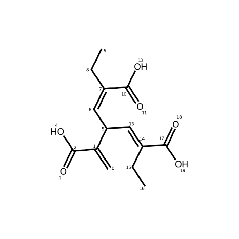 C=C(C(=O)O)C(C=C(CC)C(=O)O)C=C(CC)C(=O)O